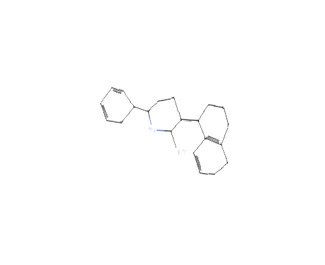 CC(C)C1NC(C2C=CC=CC2)CCC1C1CCCC2=C1C=CCC2